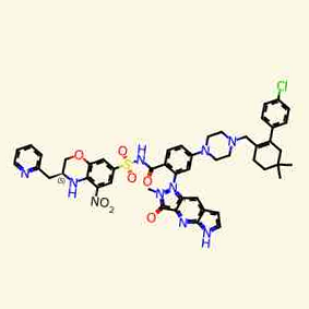 Cn1c(=O)c2nc3[nH]ccc3cc2n1-c1cc(N2CCN(CC3=C(c4ccc(Cl)cc4)CC(C)(C)CC3)CC2)ccc1C(=O)NS(=O)(=O)c1cc2c(c([N+](=O)[O-])c1)N[C@@H](Cc1ccccn1)CO2